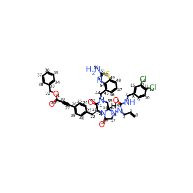 C=CCN(C(=O)NCc1ccc(Cl)c(Cl)c1)N1CC(=O)N2[C@@H](Cc3ccc(C#CC(=O)OCc4ccccc4)cc3)C(=O)N(Cc3cccc4sc(N)nc34)C[C@@H]21